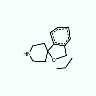 CCC.c1ccc2c(c1)COC21CCNCC1